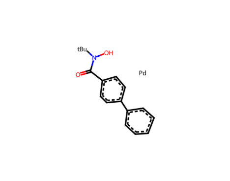 CC(C)(C)N(O)C(=O)c1ccc(-c2ccccc2)cc1.[Pd]